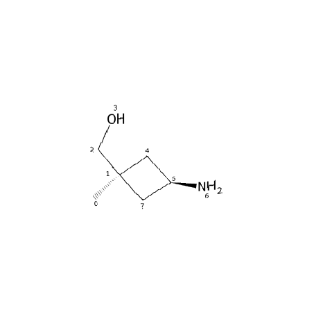 C[C@]1(CO)C[C@@H](N)C1